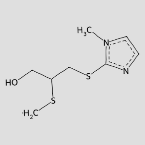 [CH2]SC(CO)CSc1nccn1C